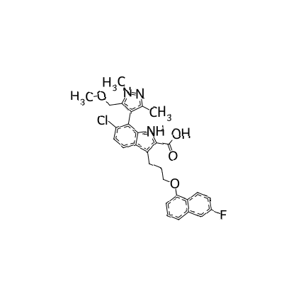 COCc1c(-c2c(Cl)ccc3c(CCCOc4cccc5cc(F)ccc45)c(C(=O)O)[nH]c23)c(C)nn1C